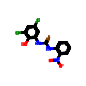 O=[N+]([O-])c1ccccc1NC(=S)Nc1cc(Cl)cc(Cl)c1O